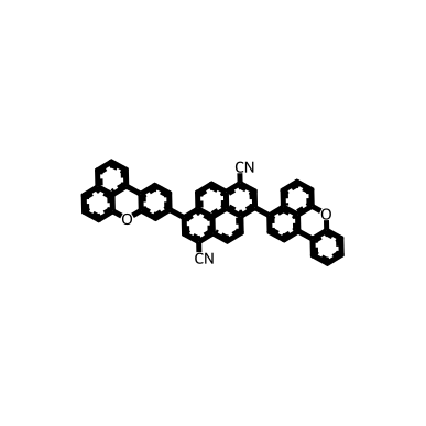 N#Cc1cc(-c2ccc3c(c2)Oc2cccc4cccc-3c24)c2ccc3c(C#N)cc(-c4ccc5c6c(cccc46)Oc4ccccc4-5)c4ccc1c2c34